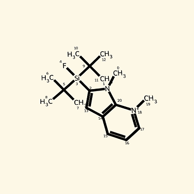 Cn1c([Si](F)(C(C)(C)C)C(C)(C)C)cc2ccc[n+](C)c21